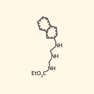 CCOC(=O)NCNCNc1ccc2ccccc2c1